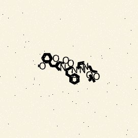 COc1cccc2c1CC1=C(O2)C(=O)N(C(CC2CCCCC2)C(=O)Nc2ccn(CC3COC(C)(C)O3)n2)C1